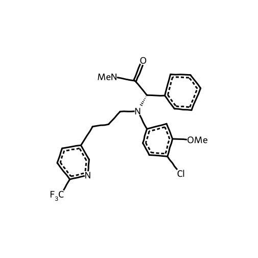 CNC(=O)[C@H](c1ccccc1)N(CCCc1ccc(C(F)(F)F)nc1)c1ccc(Cl)c(OC)c1